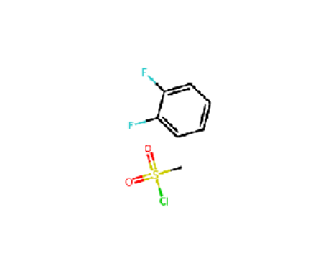 CS(=O)(=O)Cl.Fc1ccccc1F